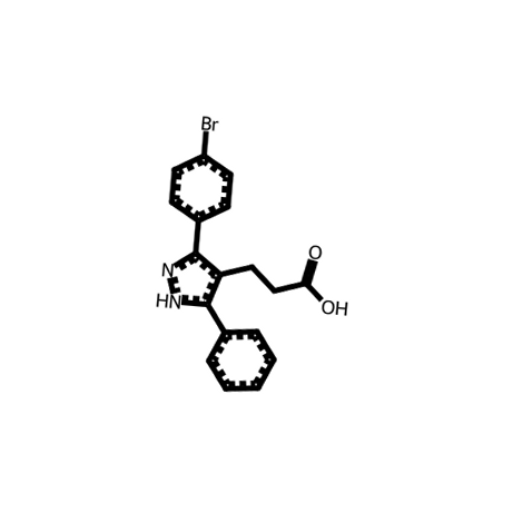 O=C(O)CCc1c(-c2ccc(Br)cc2)n[nH]c1-c1ccccc1